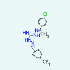 C/C(=N\NC(=N)N/N=C/c1ccc(C(F)(F)F)cc1)c1ccc(Cl)cc1